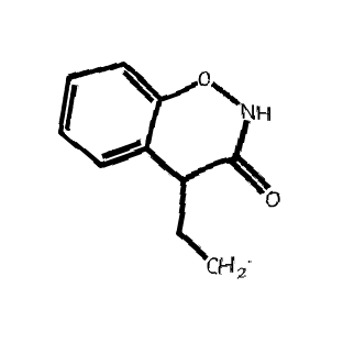 [CH2]CC1C(=O)NOc2ccccc21